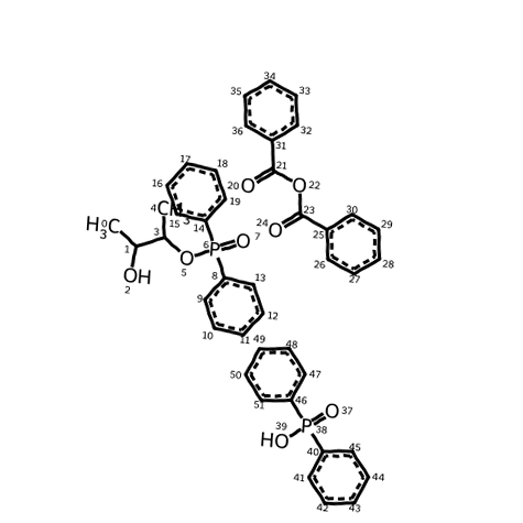 CC(O)C(C)OP(=O)(c1ccccc1)c1ccccc1.O=C(OC(=O)c1ccccc1)c1ccccc1.O=P(O)(c1ccccc1)c1ccccc1